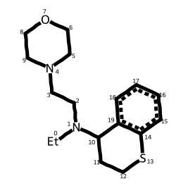 CCN(CCN1CCOCC1)C1CCSc2ccccc21